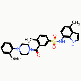 COc1ccccc1N1CCN(C(=O)c2cc(S(=O)(=O)Nc3ccc(C)c4cc[nH]c34)ccc2C)CC1